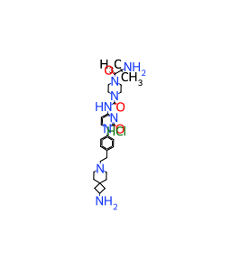 CC(C)(N)C(=O)N1CCN(C(=O)Nc2ccn(-c3ccc(CCN4CCC5(CC4)CC(N)C5)cc3)c(=O)n2)CC1.Cl